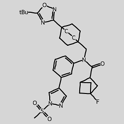 CC(C)(C)c1nc(C23CCC(CN(C(=O)C4CC5(F)CC4C5)c4cccc(-c5cnn(S(C)(=O)=O)c5)c4)(CC2)CC3)no1